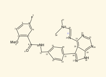 COc1ccc(F)cc1C(=O)NCc1ccc(-c2n[nH]c3ncnc(/N=C/N(C)C)c23)cc1